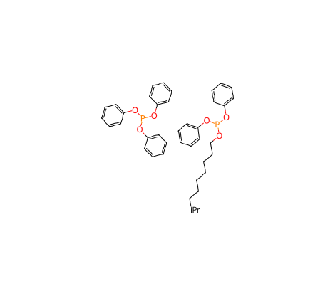 CC(C)CCCCCCCOP(Oc1ccccc1)Oc1ccccc1.c1ccc(OP(Oc2ccccc2)Oc2ccccc2)cc1